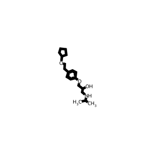 CC(C)NCC(O)COc1ccc(CCOC2CCCC2)cc1